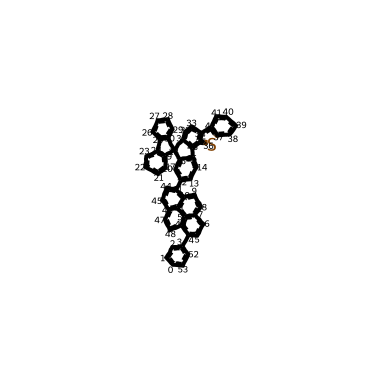 c1ccc(-c2ccc3ccc4c(-c5ccc6c(c5)C5(c7ccccc7-c7ccccc75)c5ccc7c(sc8ccccc87)c5-6)ccc5ccc2c3c54)cc1